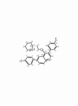 Fc1ccc(-c2ccc3ncc(-c4ccc(F)cc4)c(OCC[C@H]4CCCCN4)c3c2)cc1